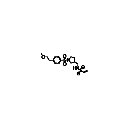 C=CS(=O)(=O)NCC1CCN(S(=O)(=O)c2ccc(CCOC)cc2)C1